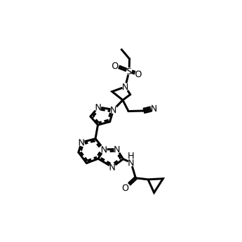 CCS(=O)(=O)N1CC(CC#N)(n2cc(-c3nccc4nc(NC(=O)C5CC5)nn34)cn2)C1